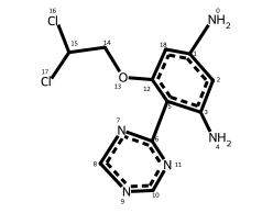 Nc1cc(N)c(-c2ncncn2)c(OCC(Cl)Cl)c1